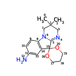 CC1(C)CN=C2N(C1)c1ccc(N)cc1C21OCCCO1